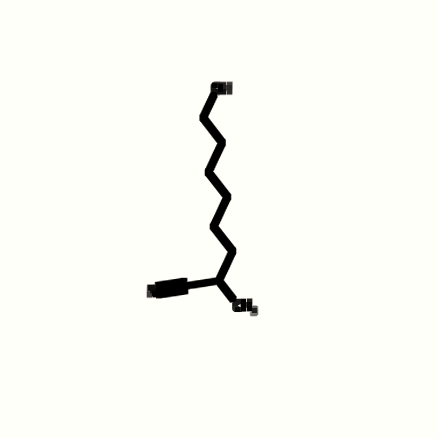 CC(C#N)CCCCCCO